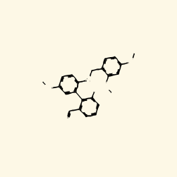 COc1ccc(CNc2ccc(OC)cc2-c2c(F)cccc2C=O)c(OC)c1